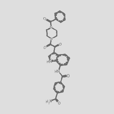 NC(=O)c1ccc(C(=O)Nc2cccc3c(C(=O)C(=O)N4CCN(C(=O)c5ccccc5)CC4)c[nH]c23)cc1